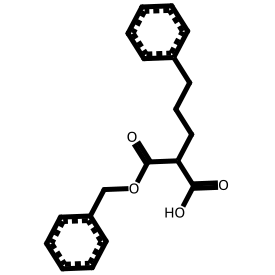 O=C(O)C(CCCc1ccccc1)C(=O)OCc1ccccc1